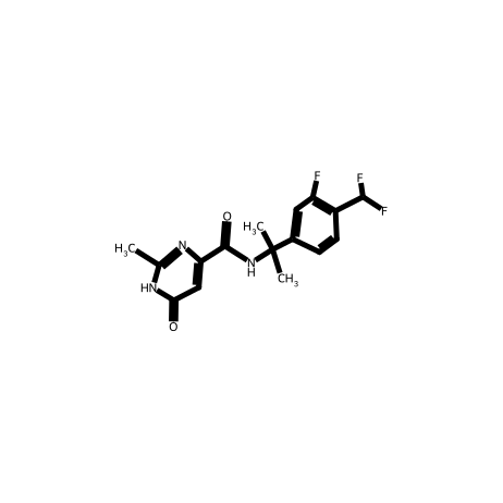 Cc1nc(C(=O)NC(C)(C)c2ccc(C(F)F)c(F)c2)cc(=O)[nH]1